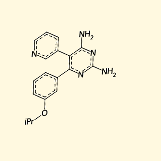 CC(C)Oc1cccc(-c2nc(N)nc(N)c2-c2cccnc2)c1